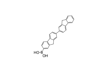 OB(O)c1ccc2c(c1)Cc1cc(-c3ccc4c(c3)Cc3ccccc3-4)ccc1-2